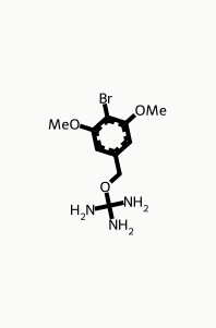 COc1cc(COC(N)(N)N)cc(OC)c1Br